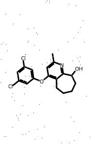 Cc1cc(Oc2cc(Cl)cc(Cl)c2)c2c(n1)C(O)CCCC2